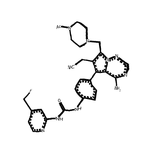 CC(=O)N1CCN(Cc2c(CC#N)c(-c3ccc(NC(=O)Nc4cc(CF)ccn4)cc3)c3c(N)ncnn23)CC1